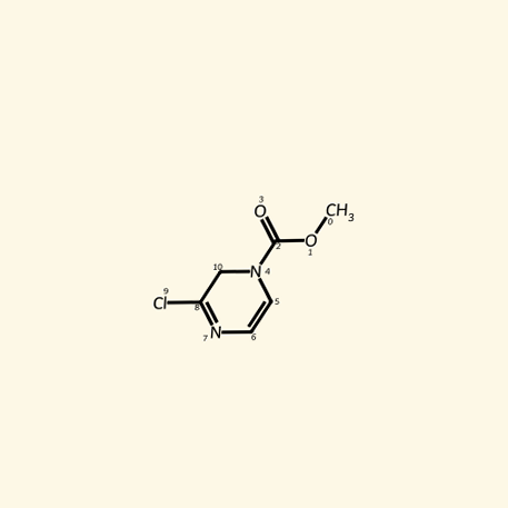 COC(=O)N1C=CN=C(Cl)C1